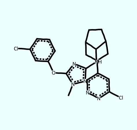 Cn1nc(NC2C3CCC2CN(c2cnnc(Cl)c2)C3)nc1Oc1cccc(Cl)c1